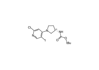 CC(C)(C)OC(=O)N[C@H]1CCN(c2cc(Cl)ncc2I)C1